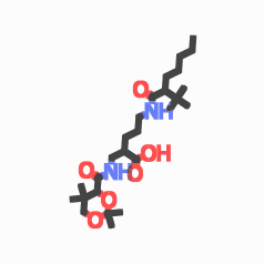 CCCCCC(C(=O)NCCCC(CNC(=O)C1OC(C)(C)OCC1(C)C)C(=O)O)C(C)(C)C